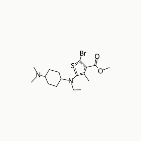 CCN(c1sc(Br)c(C(=O)OC)c1C)C1CCC(N(C)C)CC1